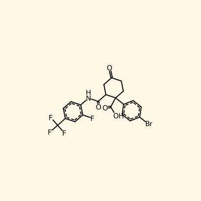 O=C1CCC(C(=O)O)(c2ccc(Br)cc2)C(C(=O)Nc2ccc(C(F)(F)F)cc2F)C1